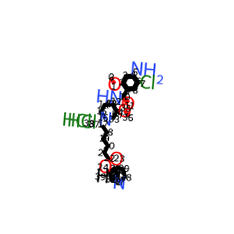 COc1cc(N)c(Cl)cc1C(=O)N[C@@H]1CCN(CCCCCC(=O)O[C@H]2CN3CCC2CC3)C[C@@H]1OC.Cl.Cl